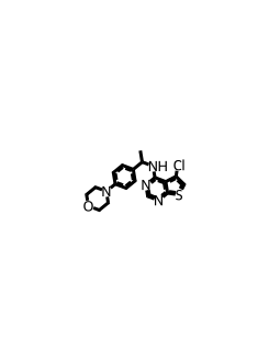 CC(Nc1ncnc2scc(Cl)c12)c1ccc(N2CCOCC2)cc1